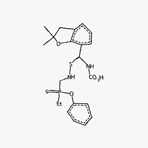 CCP(=S)(CNSC(NC(=O)O)c1cccc2c1OC(C)(C)C2)Oc1ccccc1